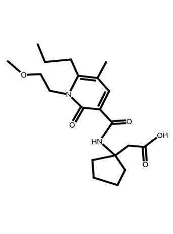 CCCc1c(C)cc(C(=O)NC2(CC(=O)O)CCCC2)c(=O)n1CCOC